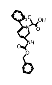 CC(C(=O)O)N1CC(NC(=O)OCc2ccccc2)=CC=C1c1ccccc1